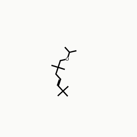 CC(C)OCC(C)(C)C/C=C/C(C)(C)C